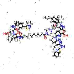 Cc1ncsc1-c1ccc([C@H](C)NC(=O)[C@@H]2C[C@@H](O)CN2C(=O)[C@@H](NC(=O)CCCCCCCCCCC(=O)N2CCN(CCO[C@]34C[C@@]5(C)C[C@](C)(C[C@](Cn6ncc(-c7ccc(N8CCCc9c8nnc(Nc8nc%10ccccc%10s8)c9C)nc7C(=O)O)c6C)(C5)C3)C4)CC2)C(C)(C)C)cc1